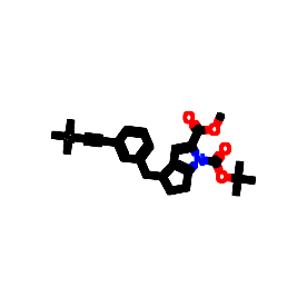 COC(=O)c1cc2c(n1C(=O)OC(C)(C)C)CCC2Cc1cccc(C#C[Si](C)(C)C)c1